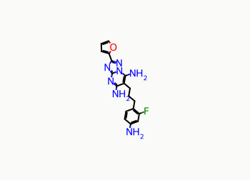 Nc1ccc(CCCc2c(N)nc3nc(-c4ccco4)nn3c2N)c(F)c1